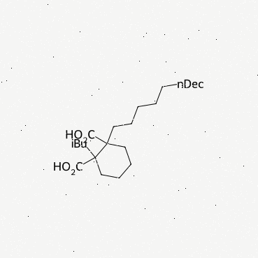 CCCCCCCCCCCCCCCC1(C(=O)O)CCCCC1(C(=O)O)C(C)CC